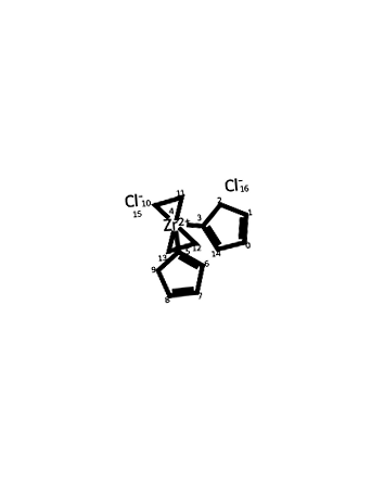 C1=CC[C]([Zr+2]23([C]4=CC=CC4)([CH2][CH2]2)[CH2][CH2]3)=C1.[Cl-].[Cl-]